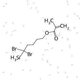 C=C(C)C(=O)OCCCCC([SiH3])(Br)Br